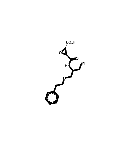 CC(C)CC(COCCc1ccccc1)NC(=O)[C@H]1O[C@@H]1C(=O)O